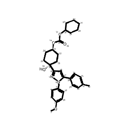 COc1ccc(-n2nc([C@]3(O)CC[C@H](OC(=O)OC4CCCCC4)CC3)cc2-c2ccc(C)cc2)cc1